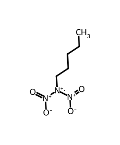 CCCCC[N+]([N+](=O)[O-])[N+](=O)[O-]